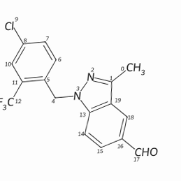 Cc1nn(Cc2ccc(Cl)cc2C(F)(F)F)c2ccc(C=O)cc12